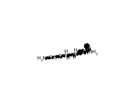 Cc1nc2c(N)nc3ccccc3c2n1Cc1ccc(CNC(=O)CCCC(=O)NCCCOCCOCCOCCCN)cc1